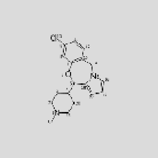 CN1CCC(C2Oc3cc(Cl)ccc3Cn3cccc32)CC1